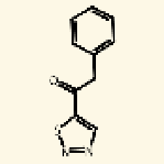 O=C(Cc1ccccc1)c1cnns1